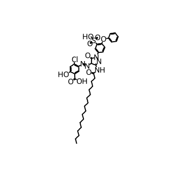 CCCCCCCCCCCCCCCCCC(=O)NC1=NN(c2ccc(Oc3ccccc3)c(S(=O)(=O)O)c2)C(=O)C1/N=N/c1cc(C(=O)O)c(O)cc1Cl